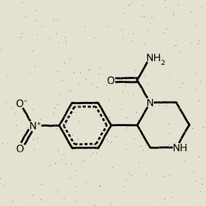 NC(=O)N1CCNCC1c1ccc([N+](=O)[O-])cc1